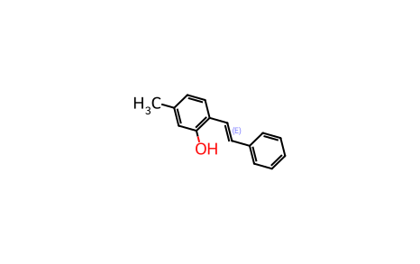 Cc1ccc(/C=C/c2ccccc2)c(O)c1